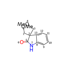 COCC1(COC)C(=O)Nc2ccccc21